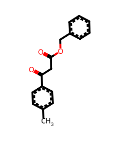 Cc1ccc(C(=O)CC(=O)OCc2ccccc2)cc1